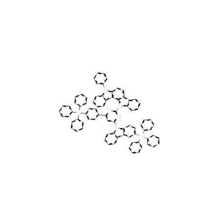 c1ccc(-n2c3ccccc3c3c2ccc2c4ccccc4n(-c4nc(-c5ccc([Si](c6ccccc6)(c6ccccc6)c6ccccc6)cc5)cc(-n5c6ccccc6c6cc([Si](c7ccccc7)(c7ccccc7)c7ccccc7)ccc65)n4)c23)cc1